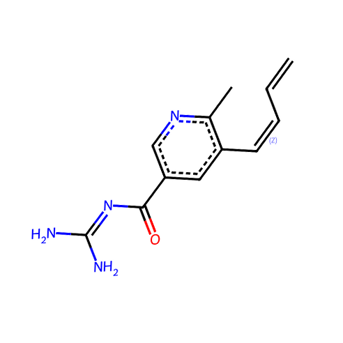 C=C/C=C\c1cc(C(=O)N=C(N)N)cnc1C